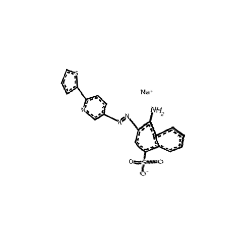 Nc1c(N=Nc2ccc(-c3cccs3)nc2)cc(S(=O)(=O)[O-])c2ccccc12.[Na+]